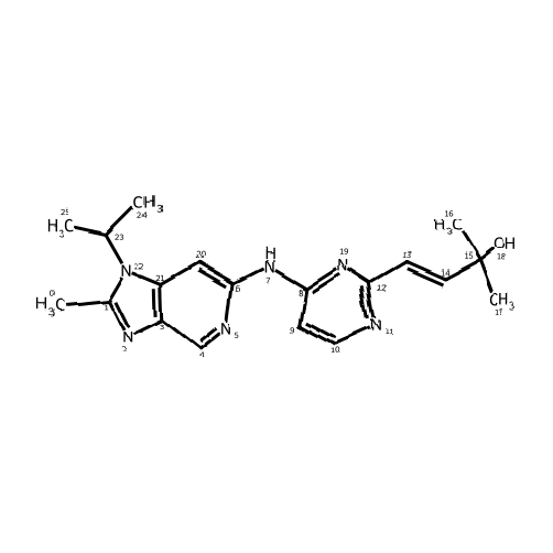 Cc1nc2cnc(Nc3ccnc(C=CC(C)(C)O)n3)cc2n1C(C)C